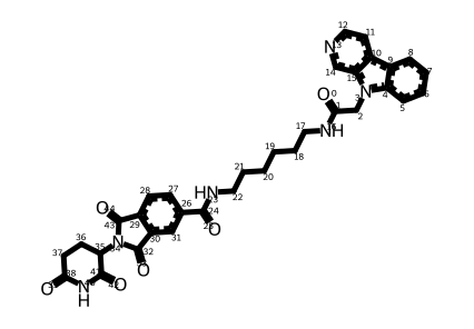 O=C(Cn1c2ccccc2c2ccncc21)NCCCCCCNC(=O)c1ccc2c(c1)C(=O)N(C1CCC(=O)NC1=O)C2=O